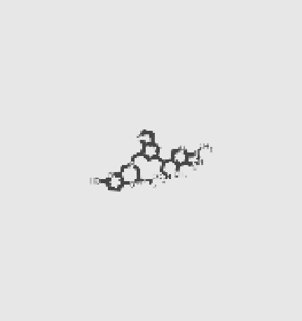 Cc1c(C(CC(=O)O)c2cc(CN3Cc4nc(O)ccc4O[C@H](C(F)(F)F)C3)c3sccc3c2)cnc2c1nnn2C